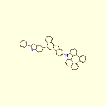 c1ccc(C2=Nc3ccc(-c4cc5c(c6ccccc46)Cc4cc(-n6c7cccc8c7c7c9c(cccc9ccc76)-c6ccccc6-8)ccc4-5)cc3C2)cc1